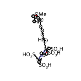 COC(=O)c1ccc(C(=O)NCCCOCCOCCOCCCNC(=O)CCCCC[N+]2=C(/C=C/C3=C(Oc4ccc(S(=O)(=O)O)cc4)C(=C/C=C4/N(CCCCS(=O)(=O)O)c5ccc(S(=O)(=O)O)cc5C4(C)C)/CCC3)C(C)(C)c3cc(S(=O)(=O)O)ccc32)cc1P(c1ccccc1)c1ccccc1